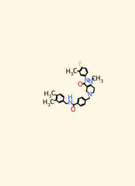 Cc1ccc(CNC(=O)c2ccc(CN3CCc4c(c(=O)n(-c5ccc(F)c(C)c5)n4C)C3)cc2)cc1C